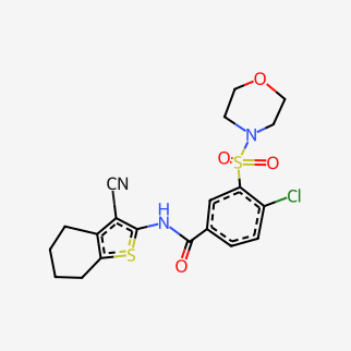 N#Cc1c(NC(=O)c2ccc(Cl)c(S(=O)(=O)N3CCOCC3)c2)sc2c1CCCC2